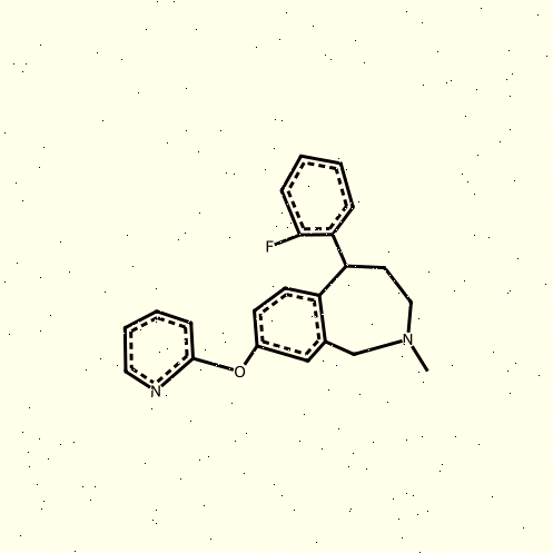 CN1CCC(c2ccccc2F)c2ccc(Oc3ccccn3)cc2C1